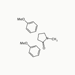 CN1CCCC1=O.COc1ccccc1.COc1ccccc1